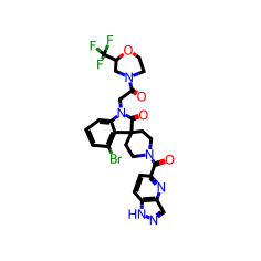 O=C(CN1C(=O)C2(CCN(C(=O)c3ccc4[nH]ncc4n3)CC2)c2c(Br)cccc21)N1CCOC(C(F)(F)F)C1